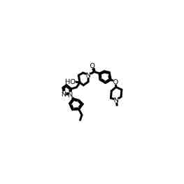 CCc1ccc(-n2nccc2CC2(O)CCN(C(=O)c3ccc(OC4CCN(C)CC4)cc3)CC2)cc1